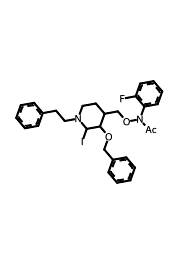 CC(=O)N(OCC1CCN(CCc2ccccc2)C(I)C1OCc1ccccc1)c1ccccc1F